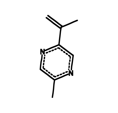 C=C(C)c1cnc(C)cn1